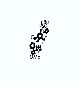 CCCCOC(=O)N(Cc1cc2c(c(C(F)F)c1)CN(c1cccc(C3(c4nncn4C)CC(OC)C3)c1)C2=O)C1(C)CCC1